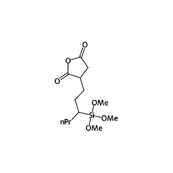 CCCC(CCC1CC(=O)OC1=O)[Si](OC)(OC)OC